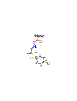 CNC(=O)ON=CC(C)(C)Sc1ccc(Cl)cc1